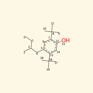 CCC(C)Cc1cc(C(C)(C)C)c(O)cc1C(C)(C)C